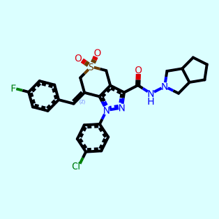 O=C(NN1CC2CCCC2C1)c1nn(-c2ccc(Cl)cc2)c2c1CS(=O)(=O)C/C2=C\c1ccc(F)cc1